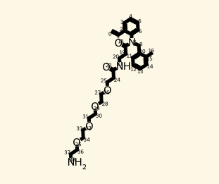 C=Cc1ccccc1N(Cc1ccccc1C)C(=O)CCNC(=O)CCOCCOCCOCCOCCN